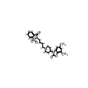 Cc1cc(C)c2oc(=O)n(C3CCN(CCCCN4C(=O)c5ccccc5S4(=O)=O)CC3)c2c1